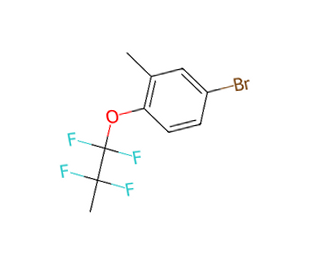 Cc1cc(Br)ccc1OC(F)(F)C(C)(F)F